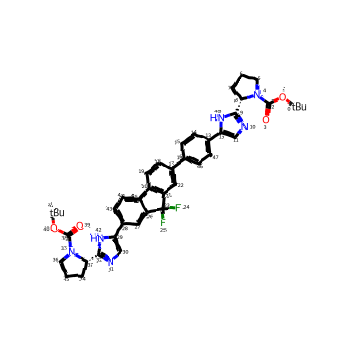 CC(C)(C)OC(=O)N1CCC[C@H]1c1ncc(-c2ccc(-c3ccc4c(c3)C(F)(F)c3cc(-c5cnc([C@@H]6CCCN6C(=O)OC(C)(C)C)[nH]5)ccc3-4)cc2)[nH]1